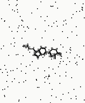 NCCn1nnc2cc(C3=NNC(=O)CC3)ccc21